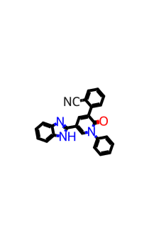 N#Cc1ccccc1-c1cc(-c2nc3ccccc3[nH]2)cn(-c2ccccc2)c1=O